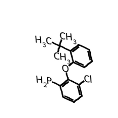 CC(C)(C)c1ccccc1Oc1c(P)cccc1Cl